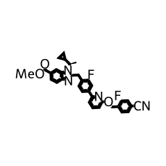 COC(=O)c1ccc2nc(Cc3ccc(-c4cccc(OCc5ccc(C#N)cc5F)n4)cc3F)n([C@H](C)C3CC3)c2c1